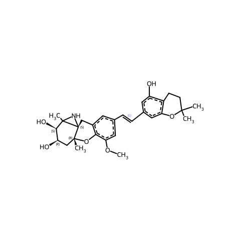 COc1cc(/C=C/c2cc(O)c3c(c2)OC(C)(C)CC3)cc2c1O[C@]1(C)C[C@@H](O)[C@@H](O)C3(C)N[C@@]31C2